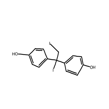 Oc1ccc(C(I)(CI)c2ccc(O)cc2)cc1